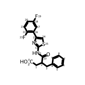 O=C(O)CC(Cc1ccccc1)C(=O)Nc1nc(-c2cc(F)ccc2F)cs1